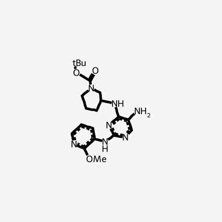 COc1ncccc1Nc1ncc(N)c(NC2CCCN(C(=O)OC(C)(C)C)C2)n1